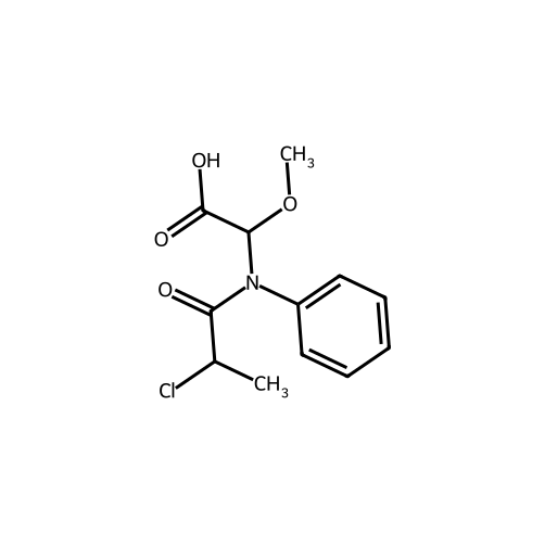 COC(C(=O)O)N(C(=O)C(C)Cl)c1ccccc1